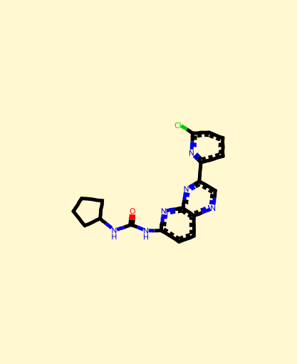 O=C(Nc1ccc2ncc(-c3cccc(Cl)n3)nc2n1)NC1CCCC1